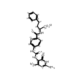 Nc1nc(N)c(NC(=O)Nc2ccc(C(=O)NC(CCc3ccccc3)C(=O)O)nc2)c(=O)[nH]1